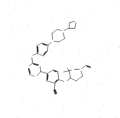 N#Cc1cc(C2N=C(Nc3ccc(N4CCN(C5COC5)CC4)cc3)N=CN2)ccc1OC1CCN(C=O)CC1(F)F